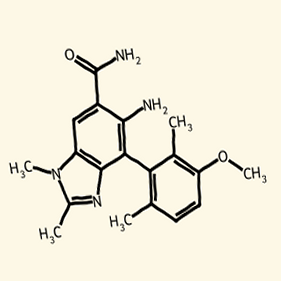 COc1ccc(C)c(-c2c(N)c(C(N)=O)cc3c2nc(C)n3C)c1C